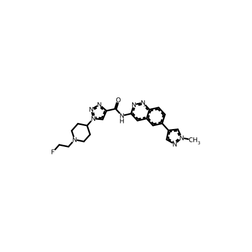 Cn1cc(-c2ccc3nnc(NC(=O)c4cn(C5CCN(CCF)CC5)nn4)cc3c2)cn1